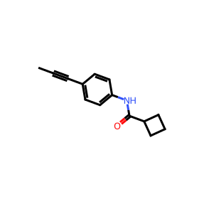 CC#Cc1ccc(NC(=O)C2CCC2)cc1